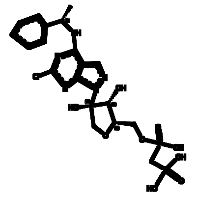 C[C@H](Nc1nc(Cl)nc2c1cnn2[C@]1(O)CO[C@H](COP(=O)(O)CP(=O)(O)O)[C@H]1O)c1ccccc1